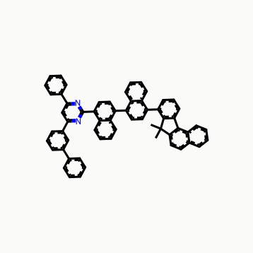 CC1(C)c2ccc3ccccc3c2-c2cccc(-c3ccc(-c4ccc(-c5nc(-c6ccccc6)cc(-c6cccc(-c7ccccc7)c6)n5)c5ccccc45)c4ccccc34)c21